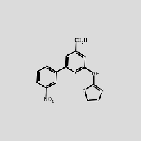 O=C(O)c1cc(Nc2nccs2)nc(-c2cccc([N+](=O)[O-])c2)c1